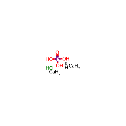 Cl.O=P(O)(O)O.[CaH2].[CaH2].[KH]